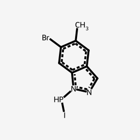 Cc1cc2cnn(PI)c2cc1Br